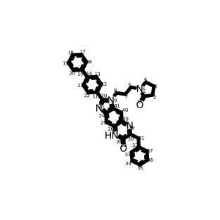 O=C1CCCN1CCCn1c(-c2ccc(-c3ccccc3)cc2)nc2cc3[nH]c(=O)c(Cc4ccccc4)nc3cc21